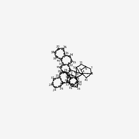 c1ccc(C23CC4CC(CC(C4)C2(c2cccc4c2ccc2ccccc24)c2cccc4c2ccc2ccccc24)C3)cc1